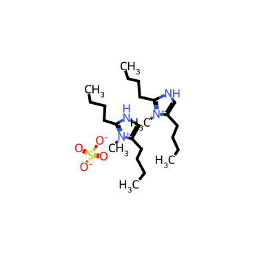 CCCCc1c[nH]c(CCCC)[n+]1C.CCCCc1c[nH]c(CCCC)[n+]1C.O=S(=O)([O-])[O-]